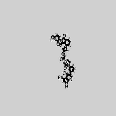 CCc1c[nH]c2ncc(-c3cccc(N4CCN(C(=O)COC5CN(c6cccc7c6C(=O)N(C6CCC(=O)NC6=O)C7=O)C5)CC4=O)c3)c(Cl)c12